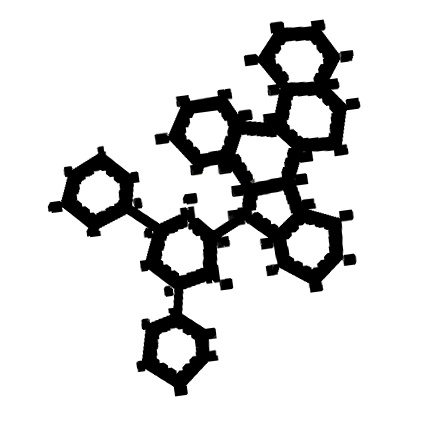 c1ccc(-c2cc(-c3ccccc3)nc(-n3c4ccccc4c4c5ccc6ccccc6c5c5ccccc5c43)n2)cc1